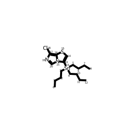 CCC[CH2][Sn]([CH2]CCC)([CH2]CCC)[c]1csc2c(Cl)ncn12